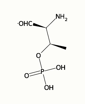 C[C@@H](OP(=O)(O)O)[C@H](N)[C]=O